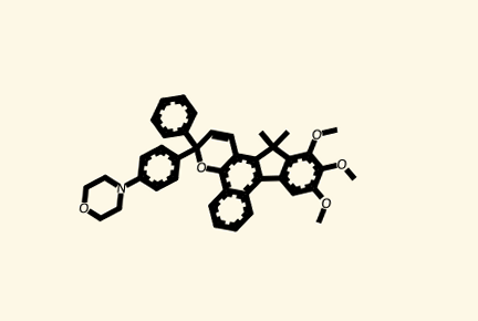 COc1cc2c(c(OC)c1OC)C(C)(C)c1c3c(c4ccccc4c1-2)OC(c1ccccc1)(c1ccc(N2CCOCC2)cc1)C=C3